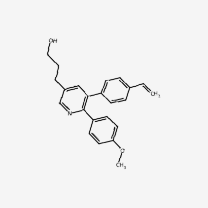 C=Cc1ccc(-c2cc(CCCO)cnc2-c2ccc(OC)cc2)cc1